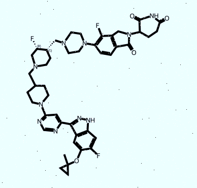 CC1(Oc2cc3c(-c4cc(N5CCC(CN6CC[C@@H](CN7CCN(c8ccc9c(c8F)CN(C8CCC(=O)NC8=O)C9=O)CC7)[C@@H](F)C6)CC5)ncn4)n[nH]c3cc2F)CC1